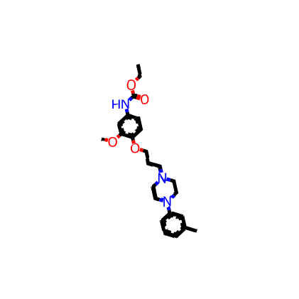 CCOC(=O)Nc1ccc(OCCCN2CCN(c3cccc(C)c3)CC2)c(OC)c1